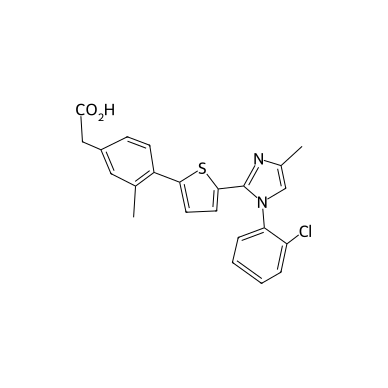 Cc1cn(-c2ccccc2Cl)c(-c2ccc(-c3ccc(CC(=O)O)cc3C)s2)n1